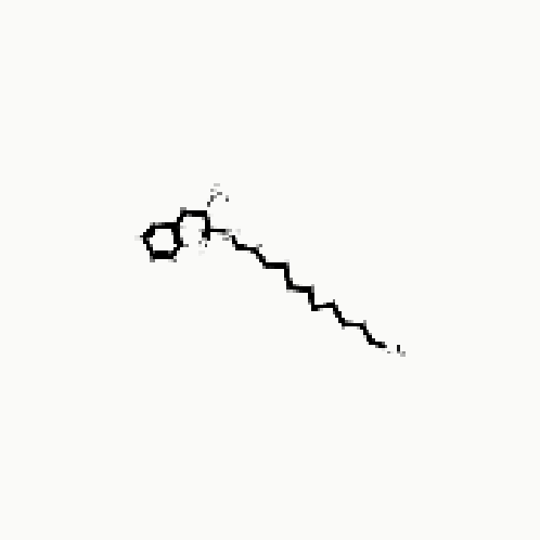 CCCCCCCCCCCCNC(=O)[C@@H](C)Cc1ccccc1